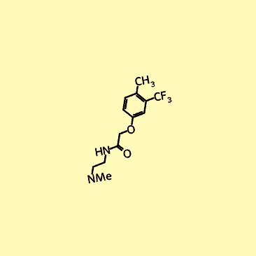 CNCCNC(=O)COc1ccc(C)c(C(F)(F)F)c1